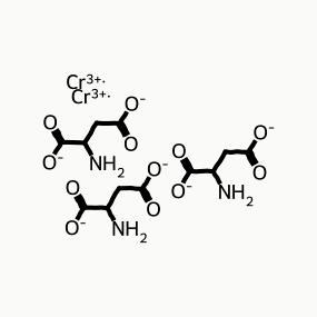 NC(CC(=O)[O-])C(=O)[O-].NC(CC(=O)[O-])C(=O)[O-].NC(CC(=O)[O-])C(=O)[O-].[Cr+3].[Cr+3]